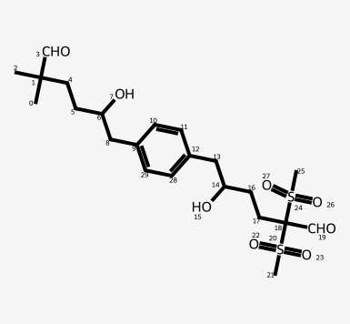 CC(C)(C=O)CCC(O)Cc1ccc(CC(O)CCC(C=O)(S(C)(=O)=O)S(C)(=O)=O)cc1